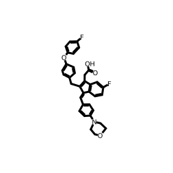 O=C(O)CC1=C(Cc2ccc(Oc3ccc(F)cc3)cc2)/C(=C/c2ccc(N3CCOCC3)cc2)c2ccc(F)cc21